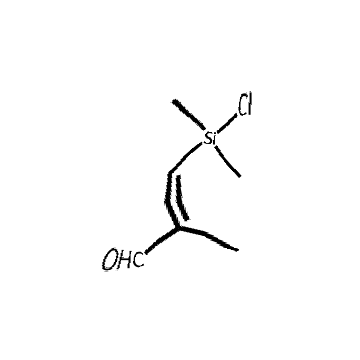 CC(C=O)=C[Si](C)(C)Cl